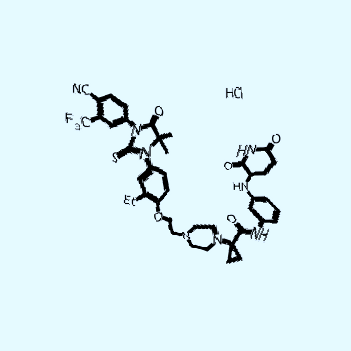 CCc1cc(N2C(=S)N(c3ccc(C#N)c(C(F)(F)F)c3)C(=O)C2(C)C)ccc1OCCN1CCN(C2(C(=O)Nc3cccc(NC4CCC(=O)NC4=O)c3)CC2)CC1.Cl